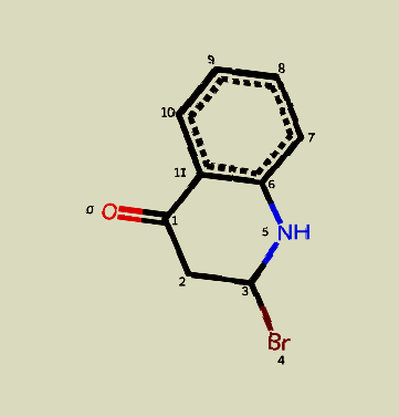 O=C1CC(Br)Nc2ccccc21